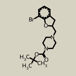 CC(C)(C)OC(=O)N1CCN(CC2Cc3cccc(Br)c3O2)CC1